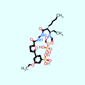 CCCCC[C@@H](C(=O)NCNC(=O)c1ccc(-c2cc(OCC)cc(P(=O)(O)O)c2)o1)[C@@H](CC)N(C=O)OCOP(=O)(O)O